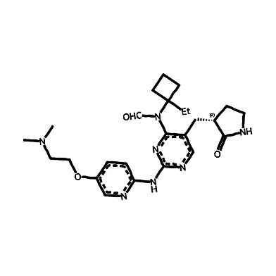 CCC1(N(C=O)c2nc(Nc3ccc(OCCN(C)C)cn3)ncc2C[C@@H]2CCNC2=O)CCC1